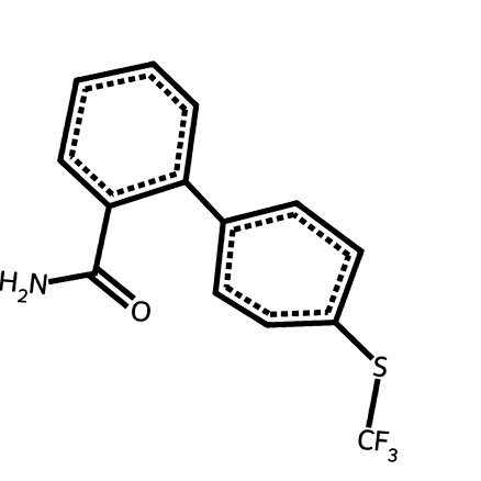 NC(=O)c1ccccc1-c1ccc(SC(F)(F)F)cc1